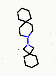 C1CCC2(CC1)CCN(N1CC3(CCCCC3)C1)CC2